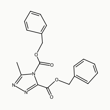 Cc1nnc(C(=O)OCc2ccccc2)n1C(=O)OCc1ccccc1